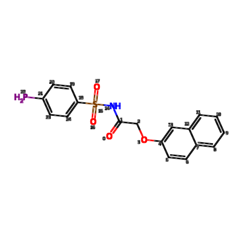 O=C(COc1ccc2ccccc2c1)NS(=O)(=O)c1ccc(P)cc1